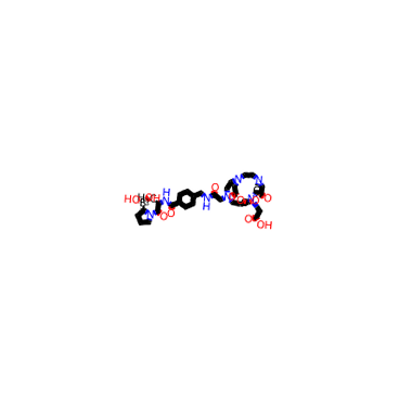 C[C@@H](NC(=O)C1CCC(CNC(=O)CN2CCN3CCN4CCN(CC(=O)O)CC(C2)C(OC(=O)C4)OC(=O)C3)CC1)C(=O)N1CCC[C@H]1B(O)O